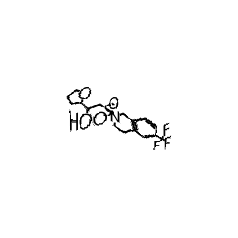 O=S(=O)(CC(O)[C@H]1CCCO1)N1CCc2cc(C(F)(F)F)ccc2C1